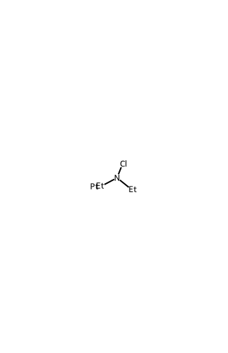 CCN(Cl)CC.[Pt]